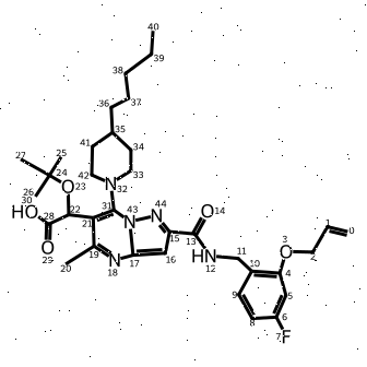 C=CCOc1cc(F)ccc1CNC(=O)c1cc2nc(C)c(C(OC(C)(C)C)C(=O)O)c(N3CCC(CCCCC)CC3)n2n1